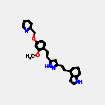 COc1cc(OCc2ccccn2)ccc1C=Cc1cc(C=Cc2cccc3[nH]ccc23)n[nH]1